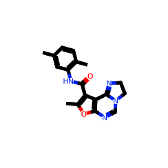 Cc1ccc(C)c(NC(=O)c2c(C)oc3c2C2=NCCN2C=N3)c1